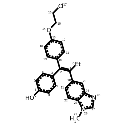 CC/C(=C(/c1ccc(O)cc1)c1ccc(OCCCl)cc1)c1ccc2c(c1)ncn2C